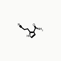 N#CCCc1[nH]ccc1C(N)=O